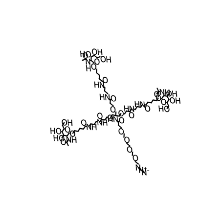 CC(=O)NC1C(OCCCCC(=O)NCCCNC(=O)CCOCC(COCCC(=O)NCCCNC(=O)CCCCOC2OC(CO)[C@H](O)C(O)C2NC(C)=O)(COCCC(=O)NCCCNC(=O)CCCCOC2OC(CO)[C@H](O)C(O)C2NC(C)=O)NC(=O)CCOCCOCCOCCOCCN=[N+]=[N-])OC(CO)[C@H](O)C1O